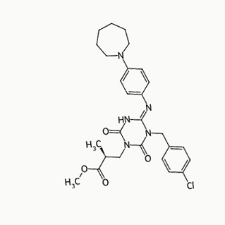 COC(=O)[C@@H](C)Cn1c(=O)[nH]/c(=N\c2ccc(N3CCCCCC3)cc2)n(Cc2ccc(Cl)cc2)c1=O